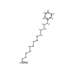 CCCCCCCCCCCCCCCCCCCCCCCCc1c[c]ccc1